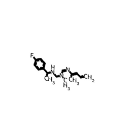 C=C/C=C(C)/N=C\N(C)CNC(C)c1ccc(F)cc1